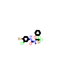 CN(C(=O)Nc1ccc(Br)c(Cl)c1)C(Oc1ccccc1)C(Cl)(Cl)Br